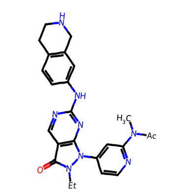 CCn1c(=O)c2cnc(Nc3ccc4c(c3)CNCC4)nc2n1-c1ccnc(N(C)C(C)=O)c1